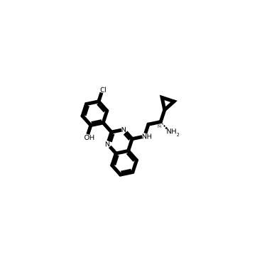 N[C@H](CNc1nc(-c2cc(Cl)ccc2O)nc2ccccc12)C1CC1